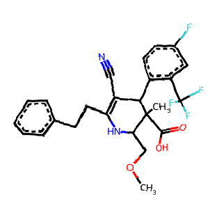 COCC1NC(CCc2ccccc2)=C(C#N)C(c2ccc(F)cc2C(F)(F)F)C1(C)C(=O)O